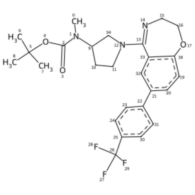 CN(C(=O)OC(C)(C)C)C1CCN(C2=NCCOc3ccc(-c4ccc(C(F)(F)F)cc4)cc32)C1